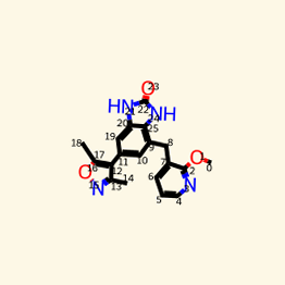 COc1ncccc1Cc1cc(-c2c(C)noc2C)cc2[nH]c(=O)[nH]c12